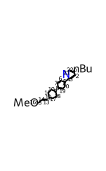 CCCCc1ccc(-c2ccc([C@H]3CC[C@H](C=CCOC)CC3)cc2)nc1